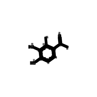 CC(=O)c1ccc(O)c(O)c1C